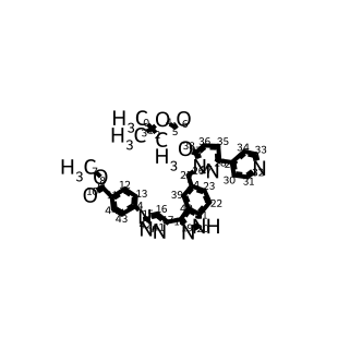 CC(C)(C)OC=O.COC(=O)c1ccc(-n2cc(-c3n[nH]c4ccc(Cn5nc(-c6ccncc6)ccc5=O)cc34)nn2)cc1